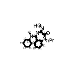 CCCn1c(=O)c(=NO)nc(N(C)C2CCCCC2)c2ccccc21